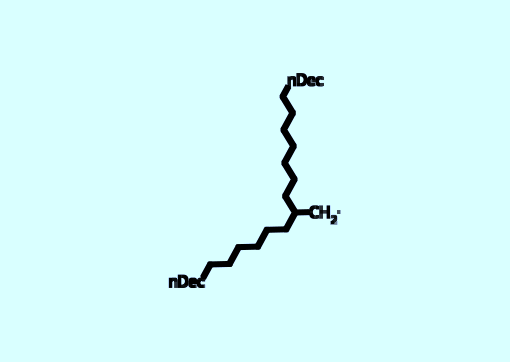 [CH2]C(CCCCCCCCCCCCCCCC)CCCCCCCCCCCCCCCCC